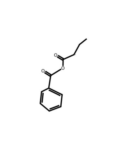 CC[CH]C(=O)OC(=O)c1ccccc1